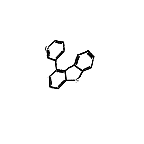 [c]1ccc2sc3ccccc3c2c1-c1cccnc1